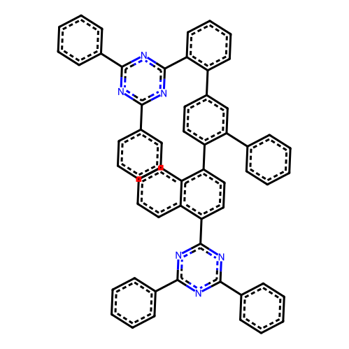 c1ccc(-c2nc(-c3ccccc3)nc(-c3ccccc3-c3ccc(-c4ccc(-c5nc(-c6ccccc6)nc(-c6ccccc6)n5)c5ccccc45)c(-c4ccccc4)c3)n2)cc1